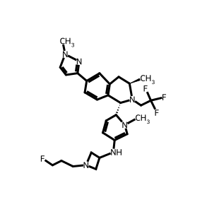 C[C@@H]1Cc2cc(-c3ccn(C)n3)ccc2[C@@H](C2C=CC(NC3CN(CCCF)C3)=CN2C)N1CC(F)(F)F